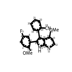 COc1ccc(F)cc1-c1[nH]c2nccc(OC)c2c1-c1ccccc1C#N